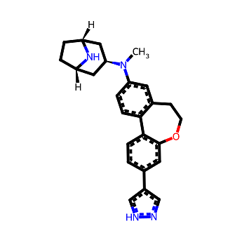 CN(c1ccc2c(c1)CCOc1cc(-c3cn[nH]c3)ccc1-2)[C@@H]1C[C@H]2CC[C@@H](C1)N2